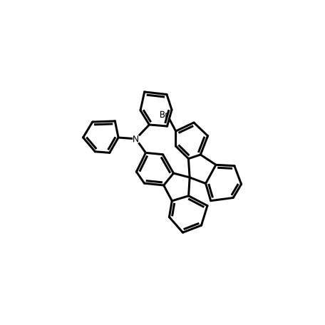 Brc1ccc2c(c1)C1(c3ccccc3-2)c2ccccc2-c2ccc(N(c3ccccc3)c3ccccc3)cc21